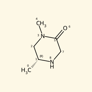 C[C@@H]1CN(C)C(=O)CN1